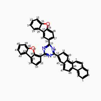 c1ccc2c(c1)ccc1c3ccc(-c4nc(-c5ccc6oc7ccccc7c6c5)nc(-c5cccc6c5oc5ccccc56)n4)cc3ccc21